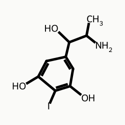 CC(N)C(O)c1cc(O)c(I)c(O)c1